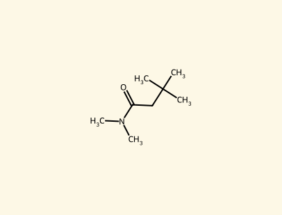 CN(C)C(=O)CC(C)(C)C